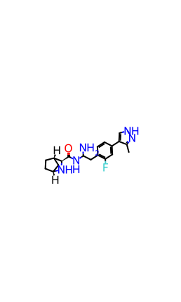 Cc1n[nH]cc1-c1ccc(CC(N)NC(=O)[C@H]2N[C@@H]3CC[C@H]2C3)c(F)c1